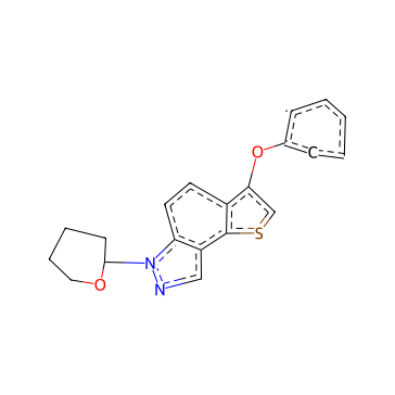 [c]1ccccc1Oc1csc2c1ccc1c2cnn1C1CCCCO1